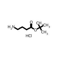 CC(C)(C)OC(=O)CCCN.Cl